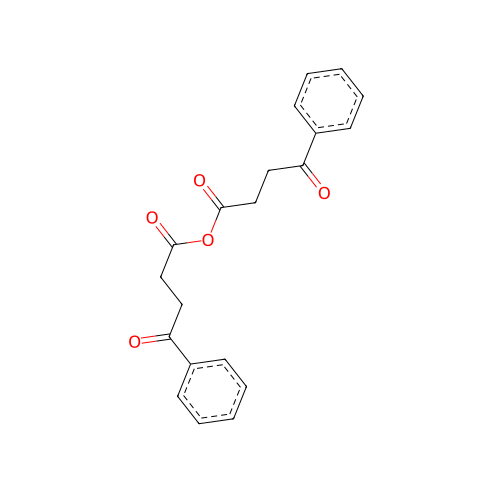 O=C(CCC(=O)c1ccccc1)OC(=O)CCC(=O)c1ccccc1